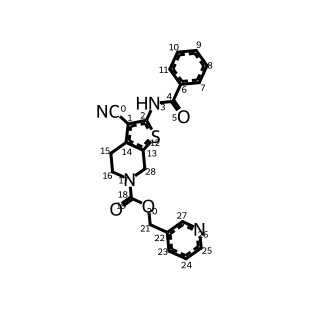 N#Cc1c(NC(=O)c2ccccc2)sc2c1CCN(C(=O)OCc1cccnc1)C2